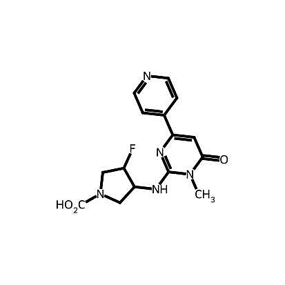 Cn1c(NC2CN(C(=O)O)CC2F)nc(-c2ccncc2)cc1=O